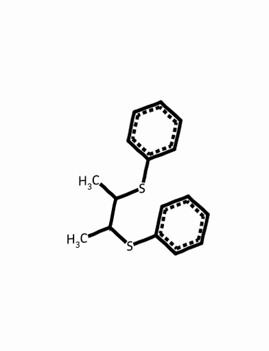 C[C](Sc1ccccc1)C(C)Sc1ccccc1